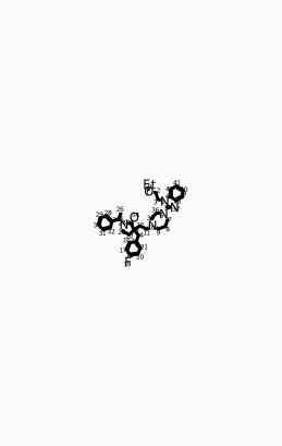 CCOCCn1c(N2CCCN(CCC3(Cc4ccc(F)cc4)CCN(C(C)c4ccccc4)C3=O)CC2)nc2ccccc21